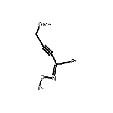 COCC#C/C(=N\OC(C)C)C(C)C